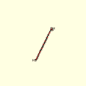 O=C(O)CCCCCCCCCCCCCCCCCCCCCCCCCCCCCCCCCCCCCCS